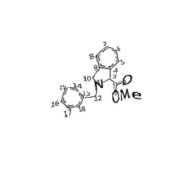 COC(=O)C1c2ccccc2CN1Cc1ccccc1